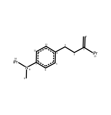 C=C(CCc1ccc(N(C)C(C)C)cc1)C(C)C